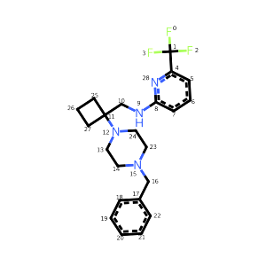 FC(F)(F)c1cccc(NCC2(N3CCN(Cc4ccccc4)CC3)CCC2)n1